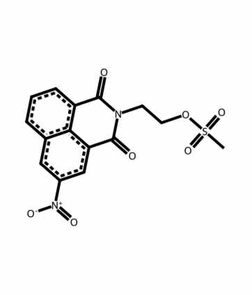 CS(=O)(=O)OCCN1C(=O)c2cccc3cc([N+](=O)[O-])cc(c23)C1=O